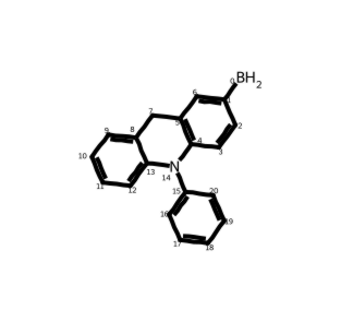 Bc1ccc2c(c1)Cc1ccccc1N2c1ccccc1